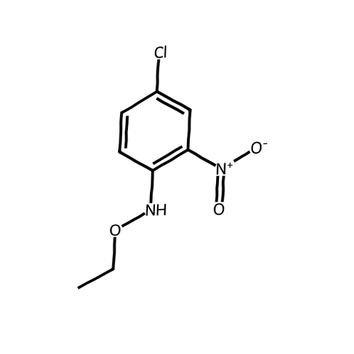 CCONc1ccc(Cl)cc1[N+](=O)[O-]